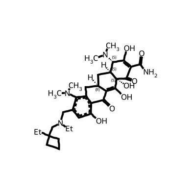 CCN(Cc1cc(O)c2c(c1N(C)C)C[C@H]1C[C@H]3[C@H](N(C)C)C(O)=C(C(N)=O)C(=O)[C@@]3(O)C(O)=C1C2=O)CC1(CC)CCC1